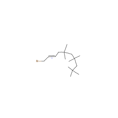 CC(C)(C)CC(C)(C)CC(C)(C)C/C=C/CBr